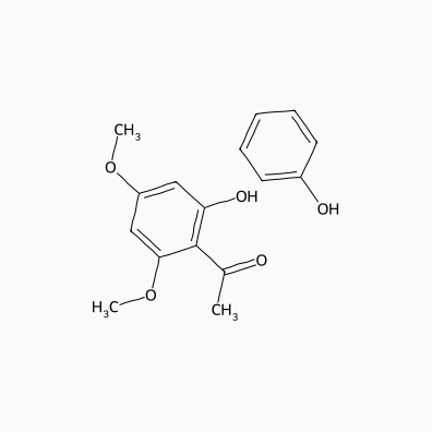 COc1cc(O)c(C(C)=O)c(OC)c1.Oc1ccccc1